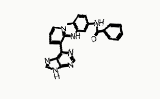 Cc1ccc(NC(=O)c2ccccc2)cc1Nc1ncccc1-c1ncnc2[nH]cnc12